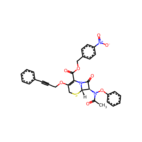 CC(=O)N(Oc1ccccc1)[C@@H]1C(=O)N2C(C(=O)OCc3ccc([N+](=O)[O-])cc3)=C(OCC#Cc3ccccc3)CS[C@@H]12